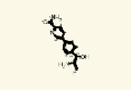 NC(=O)c1ccc(-c2ccc([C@@H](O)[C@H](N)CF)cc2)cn1